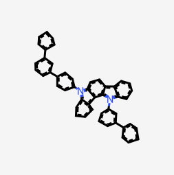 c1ccc(-c2cccc(-c3ccc(-n4c5ccccc5c5c4ccc4c6ccccc6n(-c6cccc(-c7ccccc7)c6)c45)cc3)c2)cc1